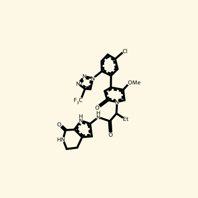 CCC(C(=O)Nc1cc2c([nH]1)C(=O)NCC2)n1cc(OC)c(-c2cc(Cl)ccc2-n2cc(C(F)(F)F)nn2)cc1=O